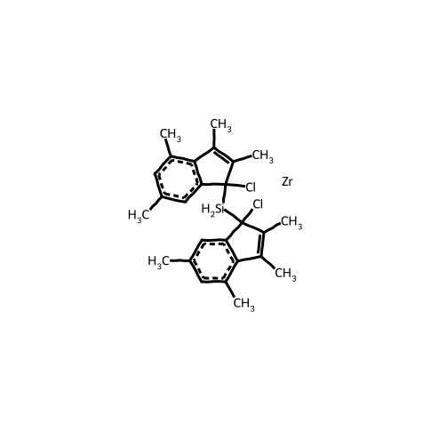 CC1=C(C)C(Cl)([SiH2]C2(Cl)C(C)=C(C)c3c(C)cc(C)cc32)c2cc(C)cc(C)c21.[Zr]